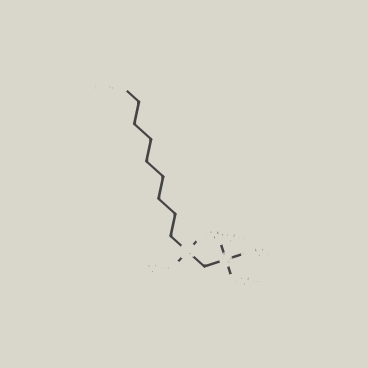 CCCCCCCCCCCCCCCCCC[Si](C[Si](OC)(OC)OC)(OC)OC